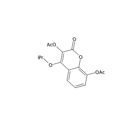 CC(=O)Oc1c(OC(C)C)c2cccc(OC(C)=O)c2oc1=O